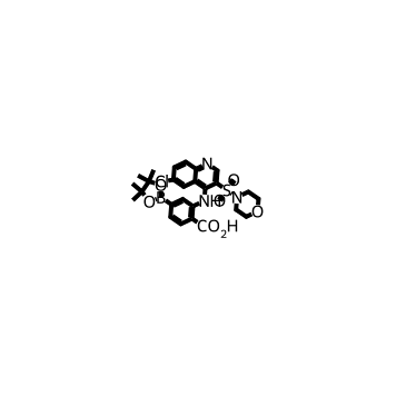 CC1(C)OB(c2ccc(C(=O)O)c(Nc3c(S(=O)(=O)N4CCOCC4)cnc4ccc(Cl)cc34)c2)OC1(C)C